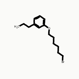 CCCc1cccc(OCCCCCCBr)c1